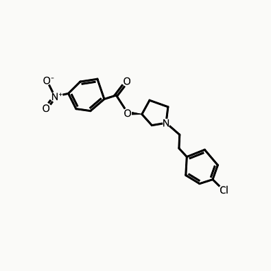 O=C(O[C@H]1CCN(CCc2ccc(Cl)cc2)C1)c1ccc([N+](=O)[O-])cc1